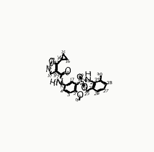 COc1ccc(NC(=O)c2cnoc2C2CC2)cc1S(=O)(=O)Nc1c(C)cccc1C